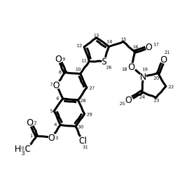 CC(=O)Oc1cc2oc(=O)c(-c3ccc(CC(=O)ON4C(=O)CCC4=O)s3)cc2cc1Cl